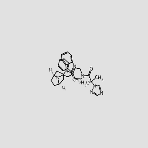 Cc1nc2ccccc2n1C1C[C@H]2CC[C@@H](C1)N2CCC1(c2ccccc2)CCN(C(=O)C(C)(C)n2cncn2)CC1